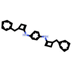 C1=C(Nc2ccc(NC3=CCC3Cc3ccccc3)cc2)C(Cc2ccccc2)C1